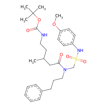 COc1ccc(NS(=O)(=O)CN(CCCc2ccccc2)C(=O)CC(C)CCNC(=O)OC(C)(C)C)cc1